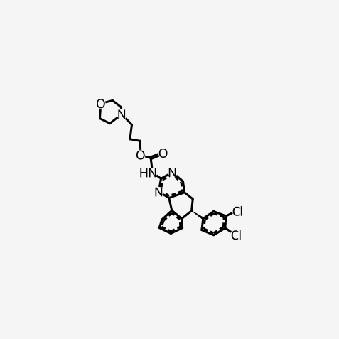 O=C(Nc1ncc2c(n1)-c1ccccc1[C@H](c1ccc(Cl)c(Cl)c1)C2)OCCCN1CCOCC1